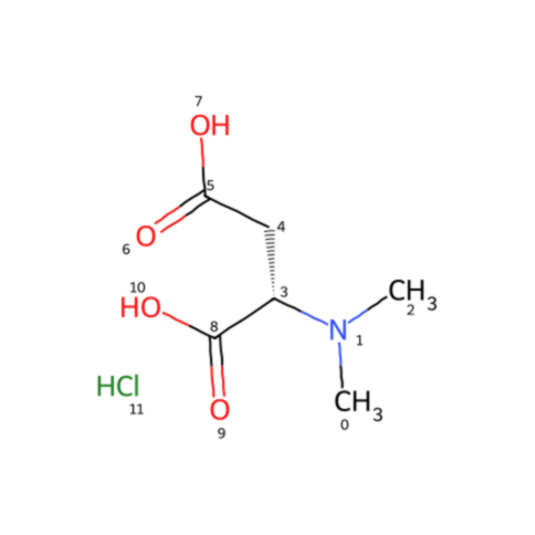 CN(C)[C@@H](CC(=O)O)C(=O)O.Cl